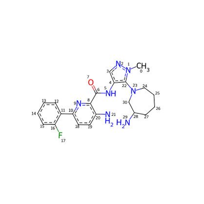 Cn1ncc(NC(=O)c2nc(-c3ccccc3F)ccc2N)c1N1CCCCC(N)C1